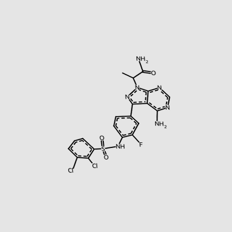 CC(C(N)=O)n1nc(-c2ccc(NS(=O)(=O)c3cccc(Cl)c3Cl)c(F)c2)c2c(N)ncnc21